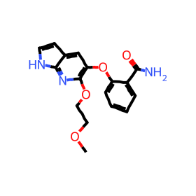 COCCOc1nc2[nH]ccc2cc1Oc1ccccc1C(N)=O